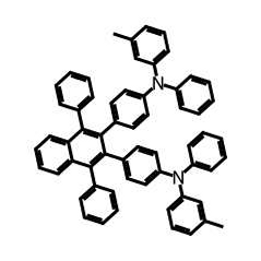 Cc1cccc(N(c2ccccc2)c2ccc(-c3c(-c4ccc(N(c5ccccc5)c5cccc(C)c5)cc4)c(-c4ccccc4)c4ccccc4c3-c3ccccc3)cc2)c1